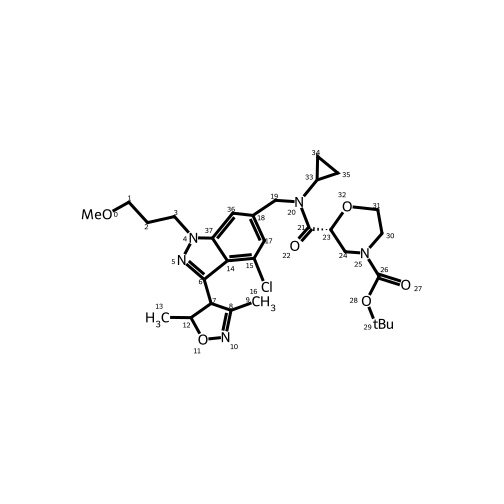 COCCCn1nc(C2C(C)=NOC2C)c2c(Cl)cc(CN(C(=O)[C@H]3CN(C(=O)OC(C)(C)C)CCO3)C3CC3)cc21